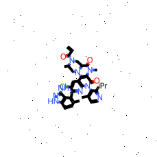 C=CC(=O)N1CC2C(=O)N(C)c3c(c4cc(Cl)c(-c5c(C)ccc6[nH]nc(N)c56)nc4n(-c4c(C)ccnc4C(C)C)c3=O)N2CC1C